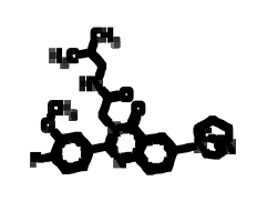 COc1cc(-c2nc3ccc(N4CCN5CCC4CC5)cc3c(=O)n2CC(=O)NCC(C)C)ccc1F